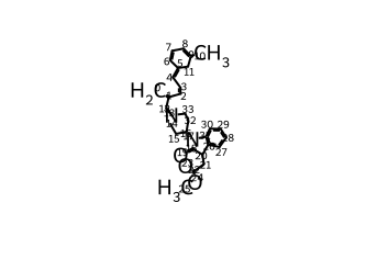 C=C(/C=C\C=C1\C=CC=C(C)C1)CN1CCC(N2C(=O)C(CC(=O)OC)c3ccccc32)CC1